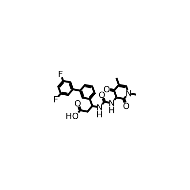 CC1=CN(C)C(=O)C(NC(=O)NC(CC(=O)O)c2cccc(-c3cc(F)cc(F)c3)c2)C1=O